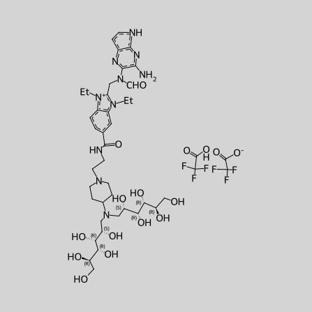 CCn1c(CN(C=O)c2nc3cc[nH]c3nc2N)[n+](CC)c2ccc(C(=O)NCCN3CCC(N(C[C@H](O)[C@@H](O)[C@H](O)[C@H](O)CO)C[C@H](O)[C@@H](O)[C@H](O)[C@H](O)CO)CC3)cc21.O=C(O)C(F)(F)F.O=C([O-])C(F)(F)F